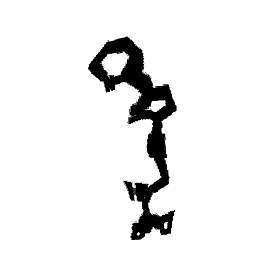 O=C(Cl)NCC#Cc1ccc(-c2ccccn2)s1